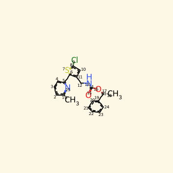 Cc1cccc(-c2sc(Cl)cc2CNC(=O)O[C@H](C)c2ccccc2)n1